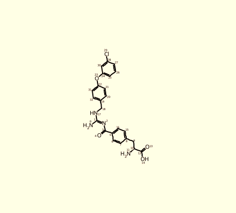 N/C(=N\C(=O)c1ccc(C[C@H](N)C(=O)O)cc1)NCc1ccc(Oc2cccc(Cl)c2)cc1